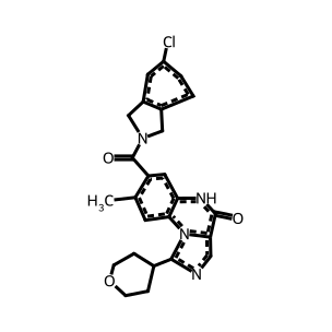 Cc1cc2c(cc1C(=O)N1Cc3ccc(Cl)cc3C1)[nH]c(=O)c1cnc(C3CCOCC3)n12